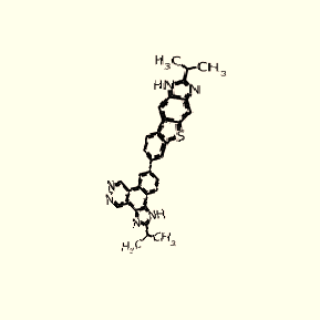 CC(C)c1nc2cc3sc4cc(-c5ccc6c(c5)c5cnncc5c5nc(C(C)C)[nH]c65)ccc4c3cc2[nH]1